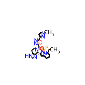 CC(P)c1cccc2cc([C@H]3c4nc[nH]c4CCN3C(=O)c3nnc(-c4ccn(C)n4)o3)nn12